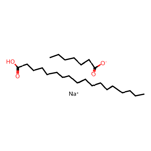 CCCCCCC(=O)[O-].CCCCCCCCCCCCCCCCCC(=O)O.[Na+]